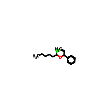 C=CC(OC(Cl)CCCCC)c1ccccc1